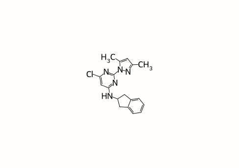 Cc1cc(C)n(-c2nc(Cl)cc(NC3Cc4ccccc4C3)n2)n1